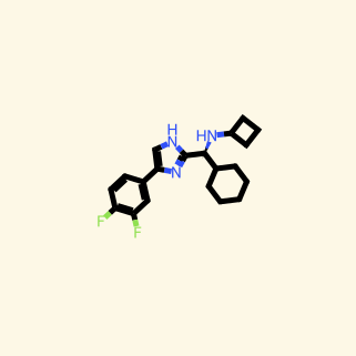 Fc1ccc(-c2c[nH]c([C@@H](NC3CCC3)C3CCCCC3)n2)cc1F